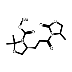 CC1COC(=O)N1C(=O)CC[C@H]1COC(C)(C)N1C(=O)OC(C)(C)C